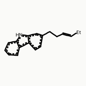 CCC=CCCc1ccc2c(c1)[nH]c1ccccc12